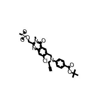 C#CCN(Cc1cc2c(=O)n(C)c(COS(C)(=O)=O)nc2cc1Cl)c1ccc(C(=O)OC(C)(C)C)cc1